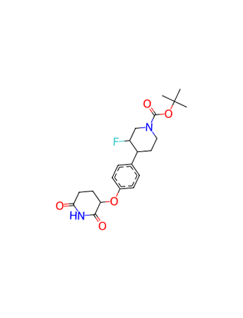 CC(C)(C)OC(=O)N1CCC(c2ccc(OC3CCC(=O)NC3=O)cc2)C(F)C1